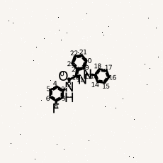 O=C(Nc1cccc(F)c1)c1nn(-c2ccccc2)c2ccccc12